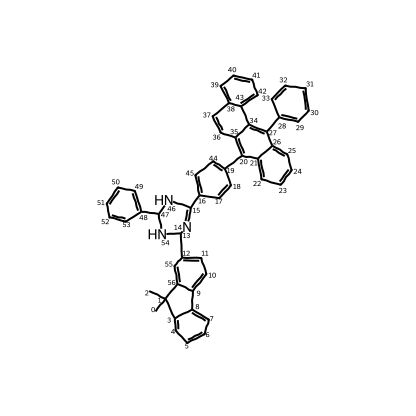 CC1(C)c2ccccc2-c2ccc(C3N=C(c4ccc(-c5c6ccccc6c(-c6ccccc6)c6c5ccc5ccccc56)cc4)NC(c4ccccc4)N3)cc21